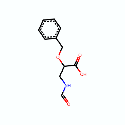 O=CNCC(OCc1ccccc1)C(=O)O